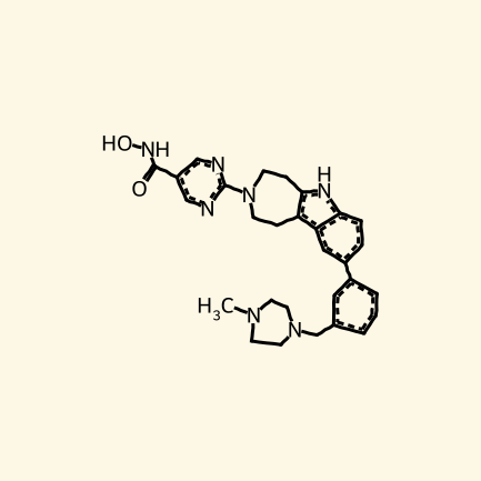 CN1CCN(Cc2cccc(-c3ccc4[nH]c5c(c4c3)CCN(c3ncc(C(=O)NO)cn3)CC5)c2)CC1